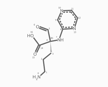 NCCC[C@](C=O)(Nc1cnccn1)C(=O)O